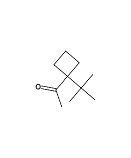 CC(=O)C1(C(C)(C)C)CCC1